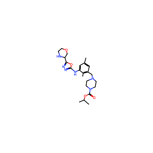 Cc1cc(CN2CCN(C(=O)OC(C)C)CC2)c(C)c(Nc2nnc(C3COCCN3)o2)c1